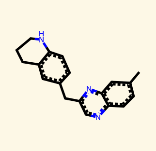 Cc1ccc2ncc(Cc3ccc4c(c3)CCCN4)nc2c1